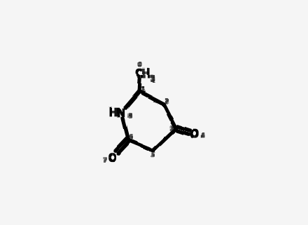 CC1CC(=O)CC(=O)N1